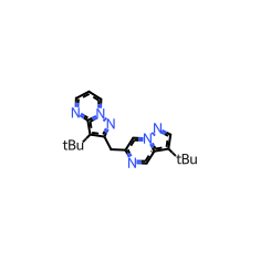 CC(C)(C)c1cnn2cc(Cc3nn4cccnc4c3C(C)(C)C)ncc12